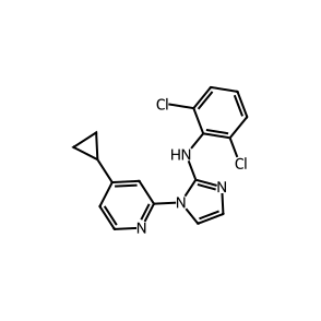 Clc1cccc(Cl)c1Nc1nccn1-c1cc(C2CC2)ccn1